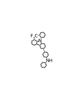 FC(F)(F)c1ccccc1-n1c2ccccc2c2cc(-c3ccc(Nc4ccccc4)cc3)ccc21